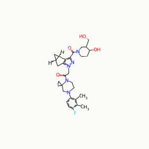 Cc1c(F)ccc(N2CCN(C(=O)Cn3nc(C(=O)N4CCC(O)C(CO)C4)c4c3C[C@@H]3C[C@H]43)C3(CC3)C2)c1C